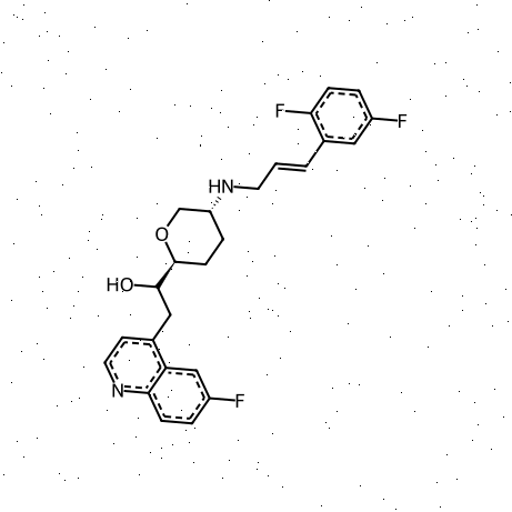 OC(Cc1ccnc2ccc(F)cc12)[C@@H]1CC[C@@H](NC/C=C/c2cc(F)ccc2F)CO1